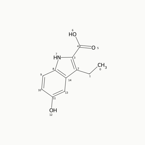 CCc1c(C(=O)O)[nH]c2ccc(O)cc12